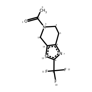 CC(=O)N1CCc2nc(C(F)(F)F)sc2C1